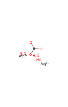 O.O.[Mg+2].[Mg+2].[O-]B([O-])[O-].[OH-]